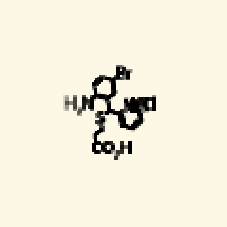 Cl.Cl.Nc1ccc(Br)cc1C(SCCC(=O)O)c1ccccn1